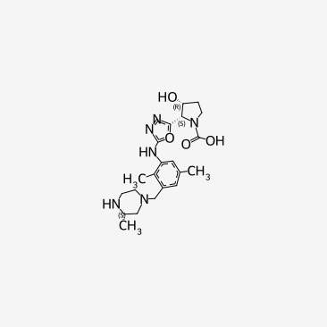 Cc1cc(CN2CCN[C@@H](C)C2)c(C)c(Nc2nnc([C@@H]3[C@H](O)CCN3C(=O)O)o2)c1